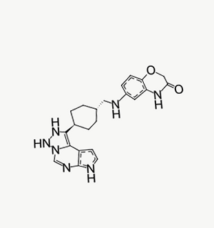 O=C1COc2ccc(NC[C@H]3CC[C@H](C4=C5c6cc[nH]c6N=CN5NN4)CC3)cc2N1